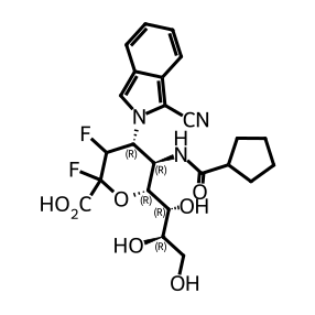 N#Cc1c2ccccc2cn1[C@H]1C(F)C(F)(C(=O)O)O[C@@H]([C@H](O)[C@H](O)CO)[C@@H]1NC(=O)C1CCCC1